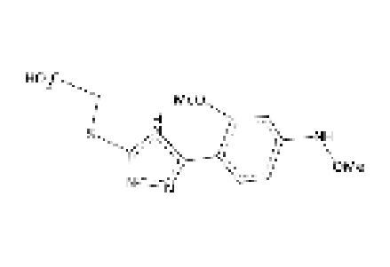 CONc1ccc(-c2nnc(SCC(=O)O)[nH]2)c(OC)c1